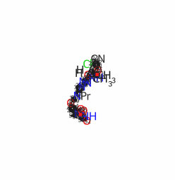 CC(C)N(CC1CCN(c2cnc(C(=O)N[C@H]3C(C)(C)[C@H](Oc4ccc(C#N)c(Cl)c4)C3(C)C)cn2)CC1)[C@H]1C[C@H](Oc2ccc3c(c2)C(=O)N(C2CCC(=O)NC2=O)C32CC2)C1